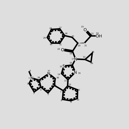 Cn1ccc2cc(-c3ccccc3-c3csc(N(C(=O)[C@@H](CC(=O)O)Cc4ccccc4)C4CC4)n3)cnc21